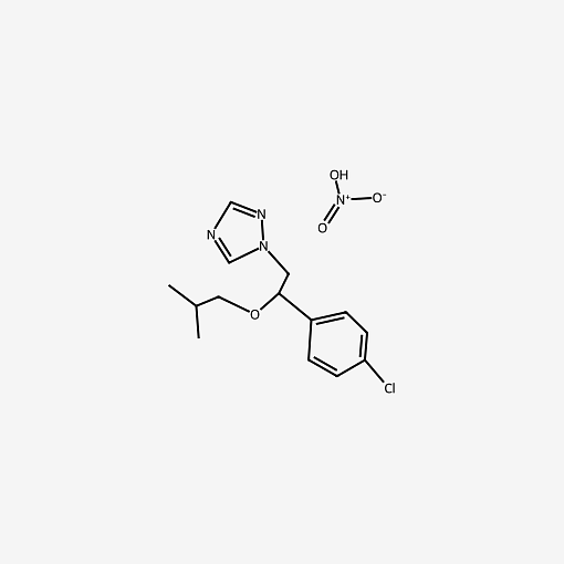 CC(C)COC(Cn1cncn1)c1ccc(Cl)cc1.O=[N+]([O-])O